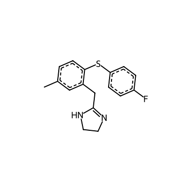 Cc1ccc(Sc2ccc(F)cc2)c(CC2=NCCN2)c1